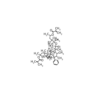 C=C(C)C(=O)OC(C)CC(C)(CC)[Si](C)(C)OC(C)(CC)[Si](C)(C)OC(C)C(C)[Si](C)(O[C@](C)(CC)[Si](C)(C)C(C)(C)CC(C)(CC)OC(=O)C(=C)C)c1ccccc1